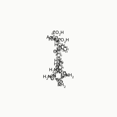 CC(=O)[C@@H](CCC(=O)O)NC(=O)N[C@H](CCCCN(Cc1nccc2ccccc12)C(=O)C1CCC(CNC(=S)Nc2ccc(CC3CN(CC(N)=O)CCN(CC(N)=O)CCN(CC(N)=O)CCN3CC(N)=O)cc2)CC1)C(=O)O